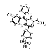 CCCC(=O)C1=C(c2ccccc2)c2cc(Cl)ccc2CN1C(=O)c1ccc(S(N)(=O)=O)cc1